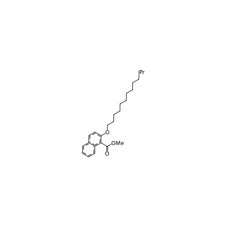 COC(=O)c1c(OCCCCCCCCCCC(C)C)ccc2ccccc12